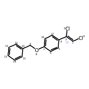 Cl/C=C(\Cl)c1ccc(OCc2ccccc2)cc1